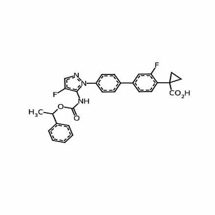 CC(OC(=O)Nc1c(F)cnn1-c1ccc(-c2ccc(C3(C(=O)O)CC3)c(F)c2)cc1)c1ccccc1